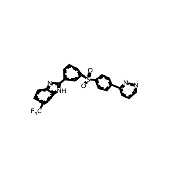 O=S(=O)(c1ccc(-c2cccnn2)cc1)c1cccc(-c2nc3ccc(C(F)(F)F)cc3[nH]2)c1